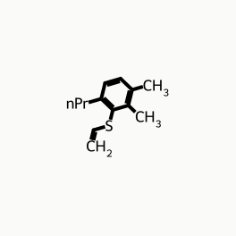 C=CSc1c(CCC)ccc(C)c1C